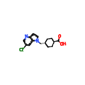 O=C(O)[C@H]1CC[C@H](Cn2ccc3ncc(Cl)cc32)CC1